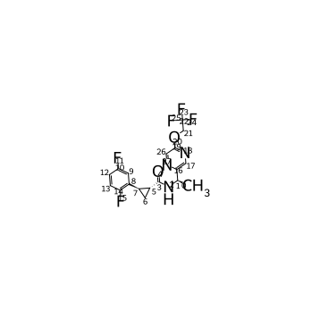 C[C@@H](NC(=O)[C@@H]1C[C@H]1c1cc(F)ccc1F)c1cnc(OCC(F)(F)F)cn1